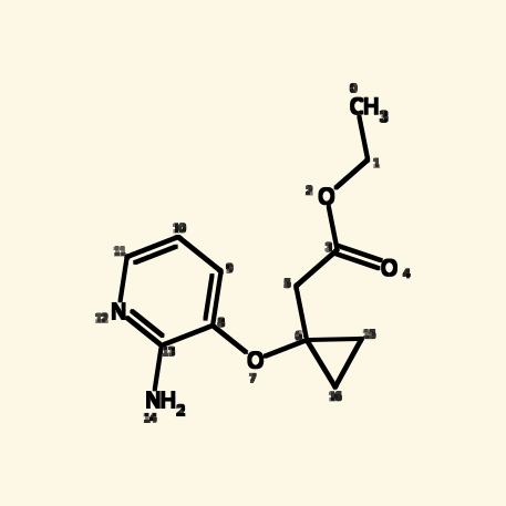 CCOC(=O)CC1(Oc2cccnc2N)CC1